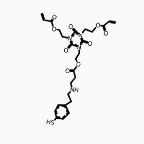 C=CC(=O)OCCn1c(=O)n(CCOC(=O)C=C)c(=O)n(CCOC(=O)CCNCCc2ccc(S)cc2)c1=O